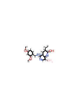 Bc1cnc(NCc2ccc(OC)cc2OC)c2cc(CC)c(O)nc12